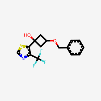 OC1(c2scnc2C(F)(F)F)CC(OCc2ccccc2)C1